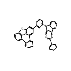 c1ccc(-c2ncc3c(n2)c2ccccc2n3-c2cccc(-c3cc4oc5cccc6c7ccccc7c(c3)c4c56)c2)cc1